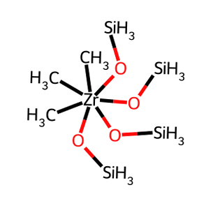 [CH3][Zr]([CH3])([CH3])([O][SiH3])([O][SiH3])([O][SiH3])[O][SiH3]